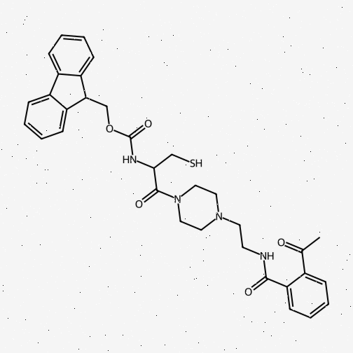 CC(=O)c1ccccc1C(=O)NCCN1CCN(C(=O)C(CS)NC(=O)OCC2c3ccccc3-c3ccccc32)CC1